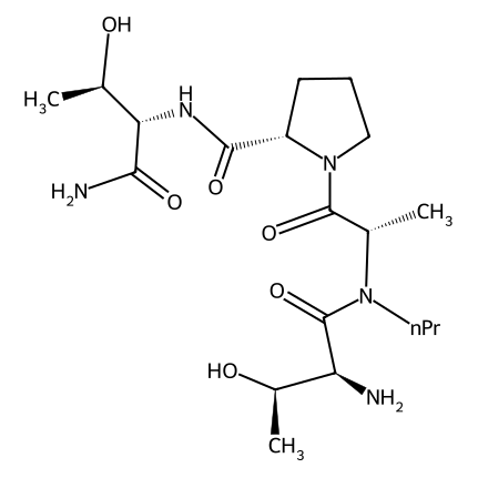 CCCN(C(=O)[C@@H](N)[C@@H](C)O)[C@@H](C)C(=O)N1CCC[C@H]1C(=O)N[C@H](C(N)=O)[C@@H](C)O